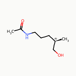 CC(=O)NCCC[C@@H](C)CO